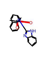 O=C1CC2=CC=CC3=CC=CCC32C(=O)N1c1nc2ccccc2[nH]1